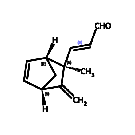 C=C1[C@@H]2C=C[C@@H](C2)[C@@]1(C)/C=C/C=O